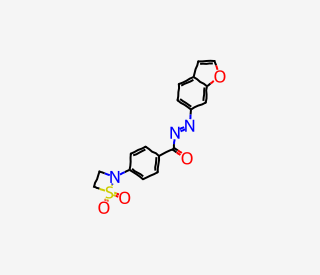 O=C(N=Nc1ccc2ccoc2c1)c1ccc(N2CCS2(=O)=O)cc1